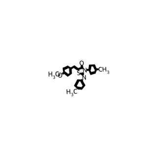 COc1ccc(/C=C2\S/C(=N\c3ccc(C)cc3)N(c3ccc(C)cc3)C2=O)cc1